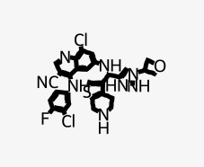 N#Cc1cnc2c(Cl)cc(N[C@H](C3=CN(C4COC4)NN3)c3csc4c3CCNC4)cc2c1Nc1ccc(F)c(Cl)c1